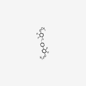 COc1ccc(OCc2ccc(-c3ccc(OC)c(F)c3F)cc2)c(F)c1F